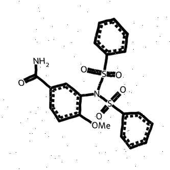 COc1ccc(C(N)=O)cc1N(S(=O)(=O)c1ccccc1)S(=O)(=O)c1ccccc1